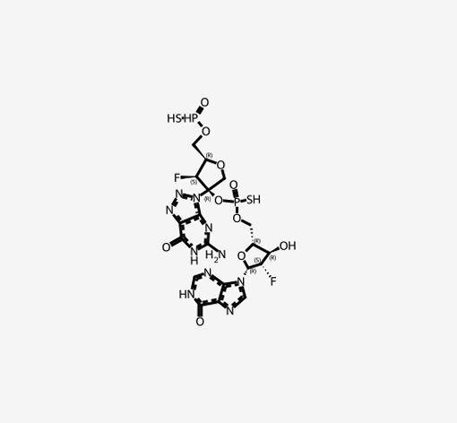 Nc1nc2c(nnn2[C@@]2(OP(=O)(S)OC[C@H]3O[C@@H](n4cnc5c(=O)[nH]cnc54)[C@@H](F)[C@@H]3O)CO[C@H](CO[PH](=O)S)[C@@H]2F)c(=O)[nH]1